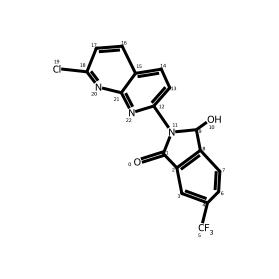 O=C1c2cc(C(F)(F)F)ccc2C(O)N1c1ccc2ccc(Cl)nc2n1